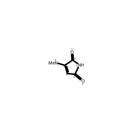 CNC1=CC(=O)NC1=O